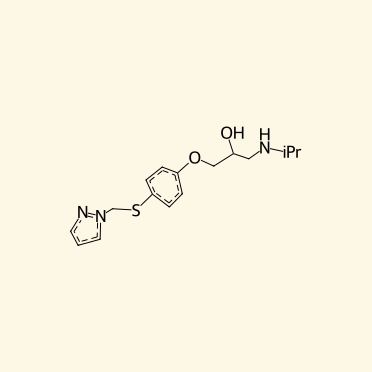 CC(C)NCC(O)COc1ccc(SCn2cccn2)cc1